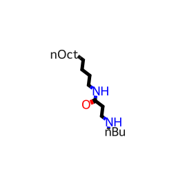 CCCCCCCCCCCCNC(=O)CCNCCCC